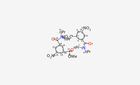 CCCN(CCC)C(=O)c1cc(C(=O)O)cc([N+](=O)[O-])c1.CCCN(CCC)C(=O)c1cc(C(=O)OC)cc([N+](=O)[O-])c1